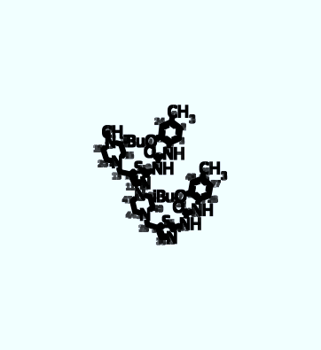 Cc1ccc(NC(=O)Nc2ncc(CN3CCN(C)CC3)s2)c(OCC(C)C)c1.Cc1ccc(NC(=O)Nc2ncc(CN3CCNCC3)s2)c(OCC(C)C)c1